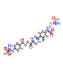 CC(=O)NC[C@H]1CN(c2ccc(N3CCN(C(=O)CCC(=O)c4ccc(CNS(C)(=O)=O)cc4)CC3)c(F)c2)C(=O)O1